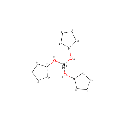 C1CCC(O[SiH](OC2CCCC2)OC2CCCC2)C1